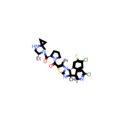 CC[C@@H]1CNC2(CC2)CN1C(=O)[C@H]1CCCN1C(=O)C1=C(C(C)C)N2C(=N[C@@](C)(c3ccc(Cl)nc3)[C@H]2c2ccc(Cl)c(F)c2)S1